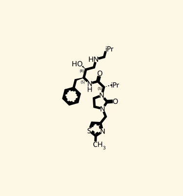 Cc1nc(CN2CCN([C@H](C(=O)N[C@@H](Cc3ccccc3)[C@H](O)CNCC(C)C)C(C)C)C2=O)cs1